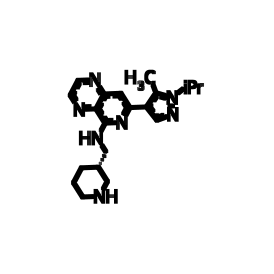 Cc1c(-c2cc3nccnc3c(NC[C@H]3CCCNC3)n2)cnn1C(C)C